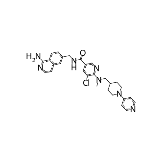 CN(CC1CCN(c2ccncc2)CC1)c1ncc(C(=O)NCc2ccc3c(N)nccc3c2)cc1Cl